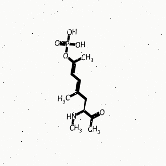 CN[C@@H](C/C(C)=C/C=C(\C)OP(=O)(O)O)C(C)=O